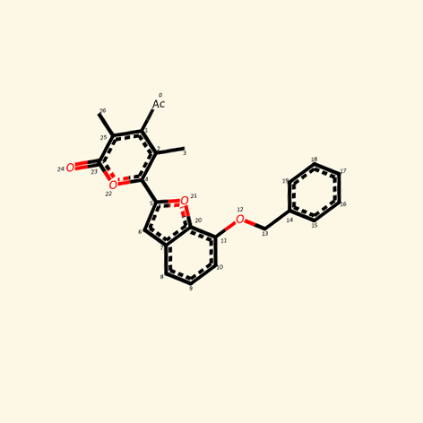 CC(=O)c1c(C)c(-c2cc3cccc(OCc4ccccc4)c3o2)oc(=O)c1C